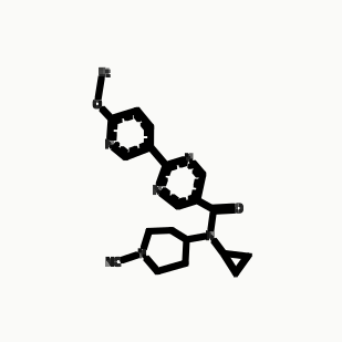 CCOc1ccc(-c2ncc(C(=O)N(C3CC3)C3CCN(C#N)CC3)cn2)cn1